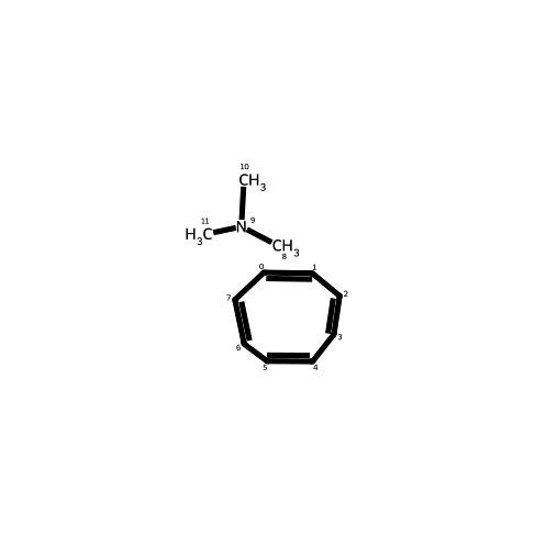 C1=CC=CC=CC=C1.CN(C)C